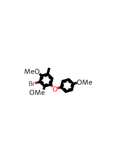 COc1ccc(Oc2cc(C)c(OC)c(Br)c2OC)cc1